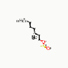 CCCCCCCCCCCCO[SH]=O.[Na]